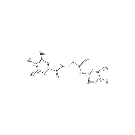 CC(C)(C)c1cc(C(=O)OCCC(=O)Oc2ccc(Cl)c(N)c2)cc(C(C)(C)C)c1O